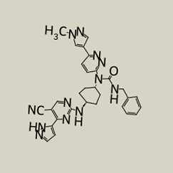 Cn1cc(-c2ccc(N(C(=O)NCc3ccccc3)[C@H]3CC[C@H](Nc4ncc(C#N)c(-c5ccn[nH]5)n4)CC3)nn2)cn1